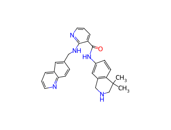 CC1(C)CNCc2cc(NC(=O)c3cccnc3NCc3ccc4ncccc4c3)ccc21